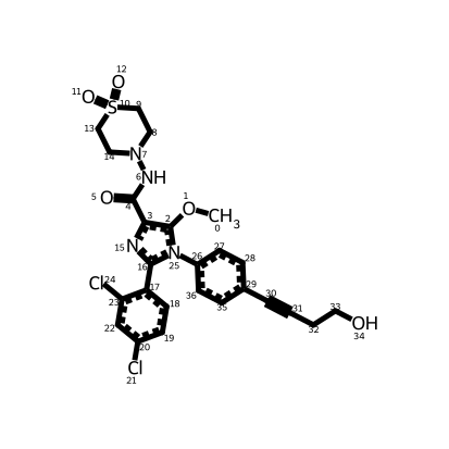 COc1c(C(=O)NN2CCS(=O)(=O)CC2)nc(-c2ccc(Cl)cc2Cl)n1-c1ccc(C#CCCO)cc1